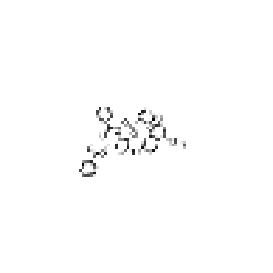 Cc1cc(=O)oc2cc(O[C@@H]3O[C@@H](COC(=O)c4ccccc4)[C@H](OC(=O)c4ccccc4)[C@H]3OC(=O)c3ccccc3)ccc12